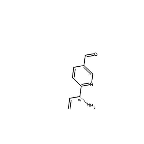 C=C[C@@H](N)c1ccc(C=O)cn1